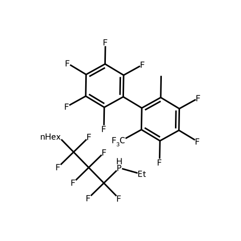 CCCCCCC(F)(F)C(F)(F)C(F)(F)PCC.Cc1c(F)c(F)c(F)c(C(F)(F)F)c1-c1c(F)c(F)c(F)c(F)c1F